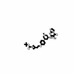 CN1C[C@H](Nc2nc3sccn3c(=O)c2Br)C[C@H](c2ccc(OCCC3CN(C(=O)OC(C)(C)C)C3)cc2)C1